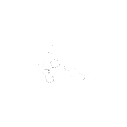 O=C1OCCC1N1CCC(CNc2nc(N3CCOCC3)cc(-n3c(C(F)F)nc4ccccc43)n2)CC1